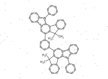 CC1(C)c2ccccc2-c2c1c(-c1cccc(-c3cc4c5ccccc5n(-c5ccccc5)c4c4c3C(C)(C)c3ccccc3-4)c1)cc1c3ccccc3n(-c3ccccc3)c21